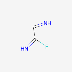 N=CC(=N)F